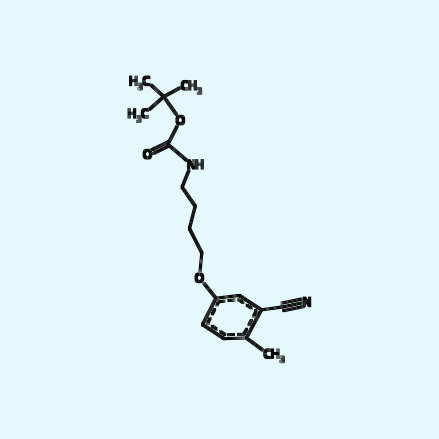 Cc1ccc(OCCCCNC(=O)OC(C)(C)C)cc1C#N